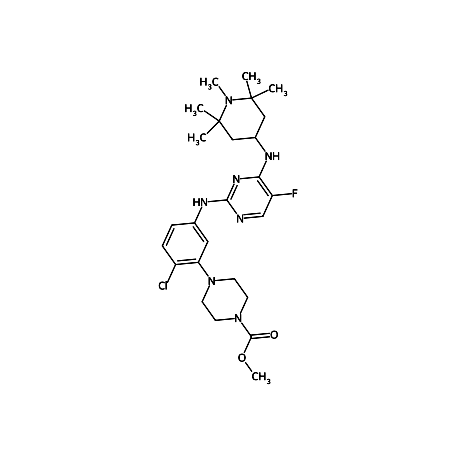 COC(=O)N1CCN(c2cc(Nc3ncc(F)c(NC4CC(C)(C)N(C)C(C)(C)C4)n3)ccc2Cl)CC1